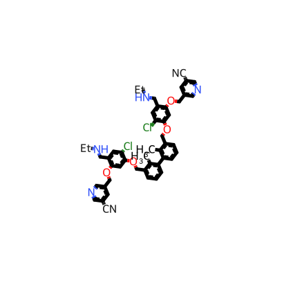 CCNCc1cc(Cl)c(OCc2cccc(-c3cccc(COc4cc(OCc5cncc(C#N)c5)c(CNCC)cc4Cl)c3C)c2C)cc1OCc1cncc(C#N)c1